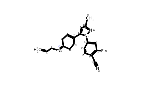 C=CC/N=C1\CC=C(c2cc(C)nn2-c2ccc(C#N)c(F)c2)CC1